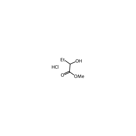 CCC(O)C(=O)OC.Cl